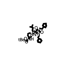 CC(C)=CCn1c(N2CCCC(NC(=O)OC(C)(C)C)C2)nc2c1c(=O)n(CCc1ccccc1)c(=O)n2CCc1ccccc1